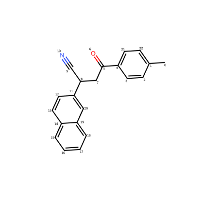 Cc1ccc(C(=O)CC(C#N)c2ccc3ccccc3c2)cc1